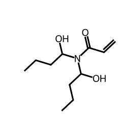 C=CC(=O)N(C(O)CCC)C(O)CCC